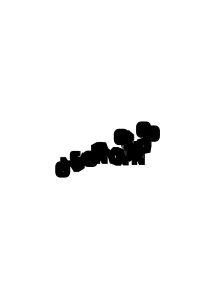 COC(=O)c1ccc2nc(CN3CCC(c4cccc(OCc5ccc(C(C)=O)s5)n4)CC3)n(C[C@@H]3CCO3)c2c1